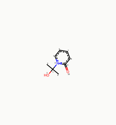 CC(C)(O)n1ccccc1=O